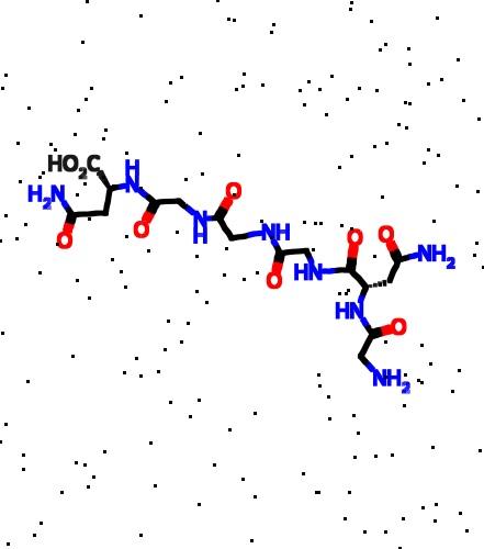 NCC(=O)N[C@@H](CC(N)=O)C(=O)NCC(=O)NCC(=O)NCC(=O)N[C@@H](CC(N)=O)C(=O)O